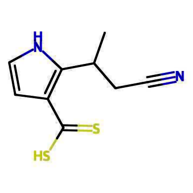 CC(CC#N)c1[nH]ccc1C(=S)S